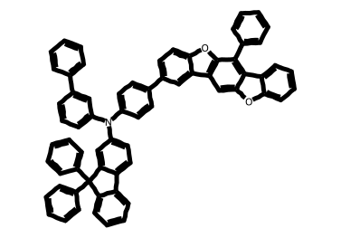 c1ccc(-c2cccc(N(c3ccc(-c4ccc5oc6c(-c7ccccc7)c7c(cc6c5c4)oc4ccccc47)cc3)c3ccc4c(c3)C(c3ccccc3)(c3ccccc3)c3ccccc3-4)c2)cc1